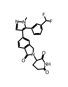 Cn1ncc(-c2ccc3c(c2)CN(C2CCC(=O)NC2=O)C3=O)c1-c1cccc(C(F)F)c1